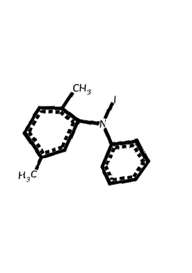 Cc1ccc(C)c(N(I)c2ccccc2)c1